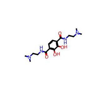 CN(C)CCNC(=O)c1ccc(C(=O)NCCN(C)C)c(O)c1O